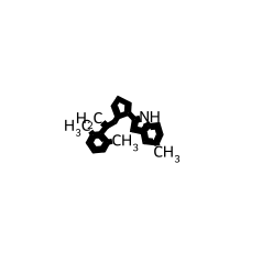 C=C(CC1=CCC=C1c1cc2cc(C)ccc2[nH]1)c1c(C)cccc1C